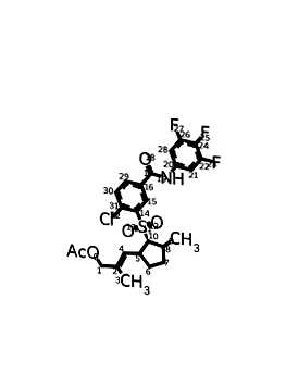 CC(=O)OC/C(C)=C/C1CCC(C)[C@@H]1S(=O)(=O)c1cc(C(=O)Nc2cc(F)c(F)c(F)c2)ccc1Cl